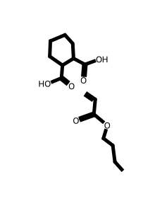 C=CC(=O)OCCCC.O=C(O)C1CCCCC1C(=O)O